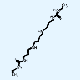 CCNC(=S)NCCCNCCCCNCCCNC(=S)NCC